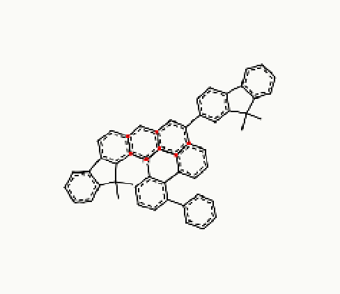 CC1(C)c2ccccc2-c2ccc(-c3ccc(N(c4cccc(-c5ccccc5)c4-c4ccccc4-c4ccccc4)c4cccc5c4C(C)(C)c4ccccc4-5)cc3)cc21